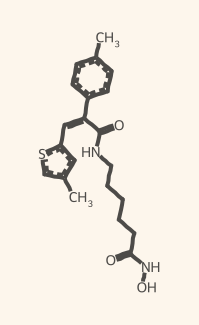 Cc1ccc(C(=Cc2cc(C)cs2)C(=O)NCCCCCC(=O)NO)cc1